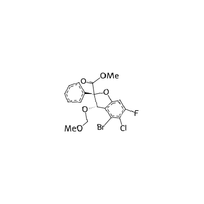 COCO[C@H]1c2c(cc(F)c(Cl)c2Br)O[C@]1(C(=O)OC)c1ccccc1